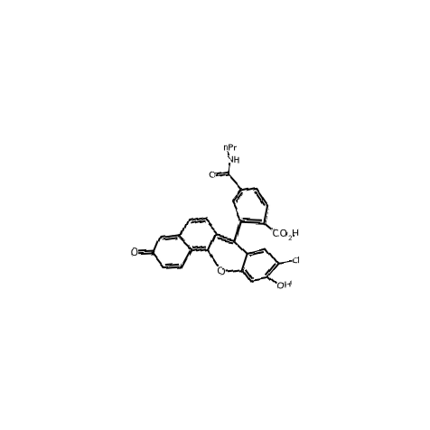 CCCNC(=O)c1ccc(C(=O)O)c(-c2c3cc(Cl)c(O)cc3oc3c2ccc2cc(=O)ccc23)c1